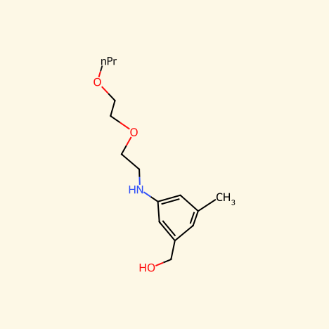 CCCOCCOCCNc1cc(C)cc(CO)c1